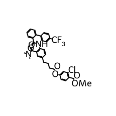 COC(=O)c1ccc(OC(=O)CCCc2ccc(NC(=O)c3ccccc3-c3ccc(C(F)(F)F)cc3)c(C(=O)N(C)C)c2)cc1Cl